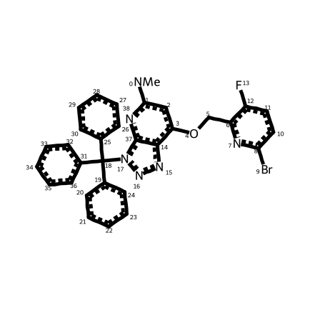 CNc1cc(OCc2nc(Br)ccc2F)c2nnn(C(c3ccccc3)(c3ccccc3)c3ccccc3)c2n1